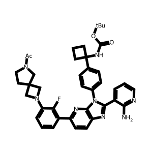 CC(=O)N1CCC2(C1)CN(c1cccc(-c3ccc4nc(-c5cccnc5N)n(-c5ccc(C6(NC(=O)OC(C)(C)C)CCC6)cc5)c4n3)c1F)C2